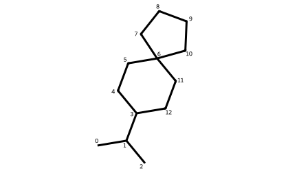 CC(C)C1CCC2(CCCC2)CC1